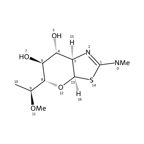 CNC1=N[C@@H]2[C@@H](O)[C@H](O)[C@@H]([C@H](C)OC)O[C@@H]2S1